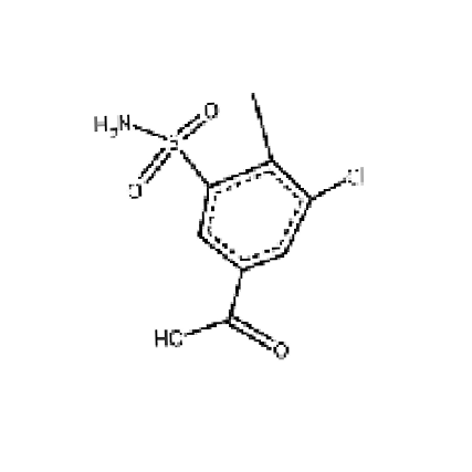 Cc1c(Cl)cc(C(=O)O)cc1S(N)(=O)=O